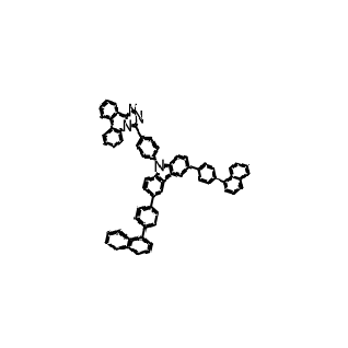 c1ccc2c(-c3ccc(-c4ccc5c(c4)c4cc(-c6ccc(-c7cccc8ccccc78)cc6)ccc4n5-c4ccc(-c5nnc6c7ccccc7c7ccccc7n56)cc4)cc3)cccc2c1